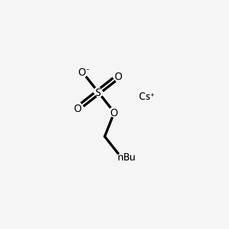 CCCCCOS(=O)(=O)[O-].[Cs+]